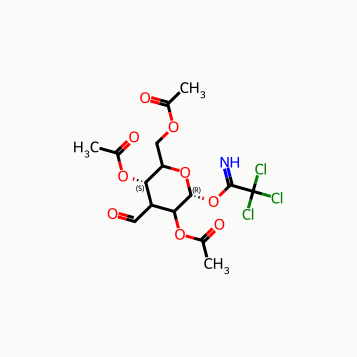 CC(=O)OCC1O[C@H](OC(=N)C(Cl)(Cl)Cl)C(OC(C)=O)C(C=O)[C@@H]1OC(C)=O